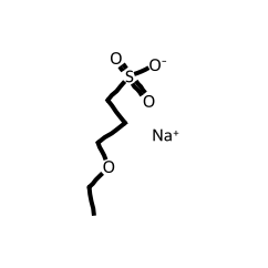 CCOCCCS(=O)(=O)[O-].[Na+]